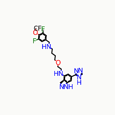 Fc1cc(CNCCCCOCCNc2cc(-c3nnc[nH]3)cc3[nH]ncc23)cc(F)c1OC(F)(F)F